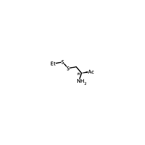 CCSSC[C@H](N)C(C)=O